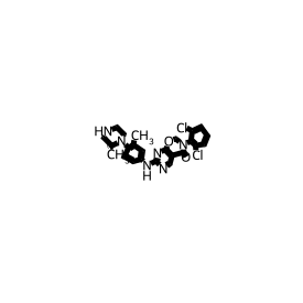 Cc1cc(Nc2ncc3c(n2)OCN(c2c(Cl)cccc2Cl)C3=O)ccc1N1CCNC[C@@H]1C